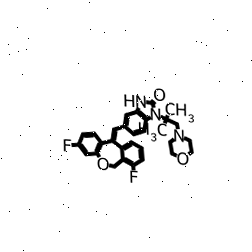 CC(C)(CN1CCOCC1)n1c(=O)[nH]c2cc(/C=C3/c4ccc(F)cc4OCc4c(F)cccc43)ccc21